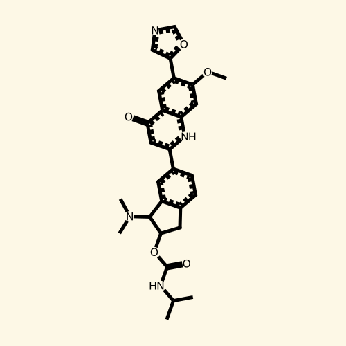 COc1cc2[nH]c(-c3ccc4c(c3)C(N(C)C)C(OC(=O)NC(C)C)C4)cc(=O)c2cc1-c1cnco1